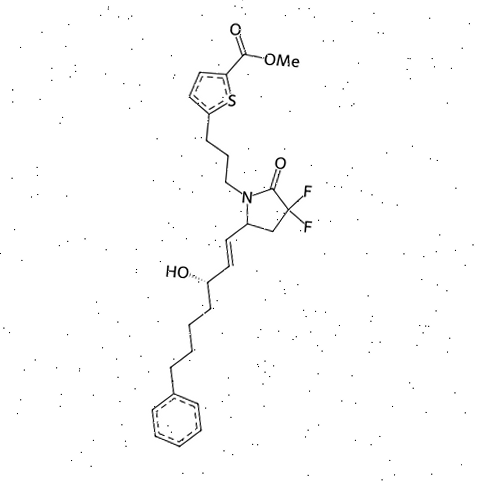 COC(=O)c1ccc(CCCN2C(=O)C(F)(F)CC2/C=C/[C@@H](O)CCCCc2ccccc2)s1